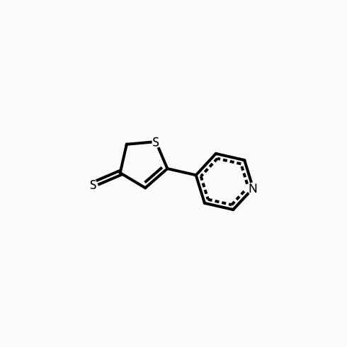 S=C1C=C(c2ccncc2)SC1